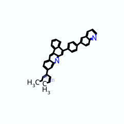 C/C=C\C(=C/CC)c1ccc2cc3c(cc(-c4ccc(-c5ccc6ncccc6c5)cc4)c4ccccc43)nc2c1